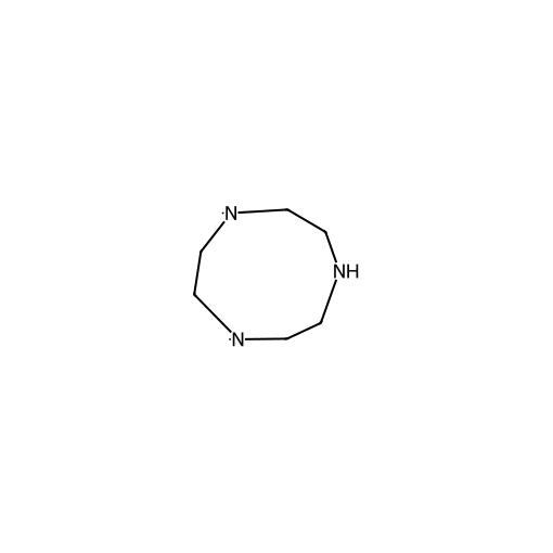 C1C[N]CCNCC[N]1